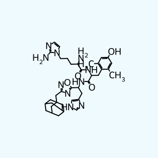 Cc1cc(O)cc(C)c1CC(NC(=O)C(N)CCCn1ccnc1N)C(=O)NC(Cc1c[nH]cn1)c1nc(CC23CC4CC(CC(C4)C2)C3)no1